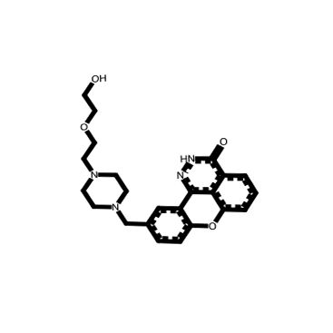 O=c1[nH]nc2c3c(cccc13)Oc1ccc(CN3CCN(CCOCCO)CC3)cc1-2